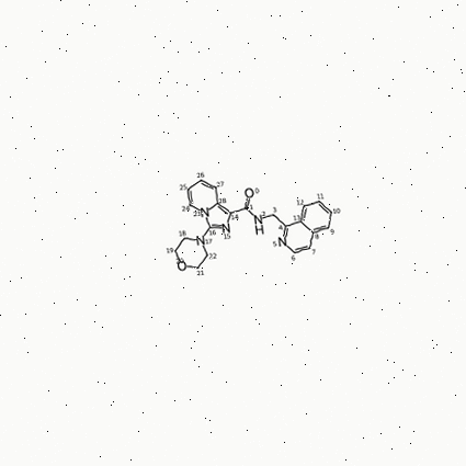 O=C(NCc1nccc2ccccc12)c1nc(N2CCOCC2)n2ccccc12